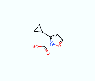 O=CO.c1cc(C2CC2)no1